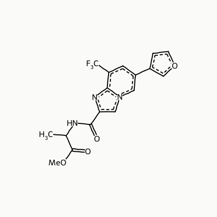 COC(=O)C(C)NC(=O)c1cn2cc(-c3ccoc3)cc(C(F)(F)F)c2n1